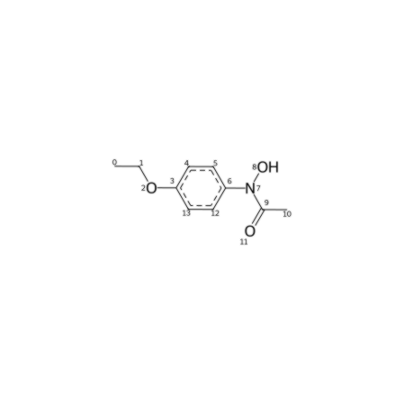 CCOc1ccc(N(O)C(C)=O)cc1